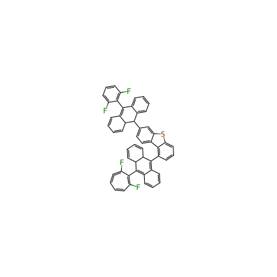 FC1=C=CC=CC(F)=C1C1=c2ccccc2=C(c2cccc3sc4cc(C5c6ccccc6C(c6c(F)cccc6F)=C6C=CC=CC65)ccc4c23)C2C=CC=CC12